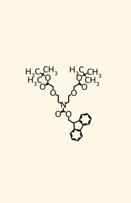 CC(C)(C)OC(=O)COCCN(CCOCC(=O)OC(C)(C)C)C(=O)OCC1c2ccccc2-c2ccccc21